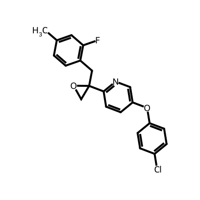 Cc1ccc(CC2(c3ccc(Oc4ccc(Cl)cc4)cn3)CO2)c(F)c1